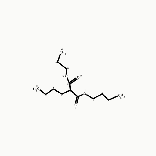 CCCCOC(=O)C(CCCC)C(=O)OCCC